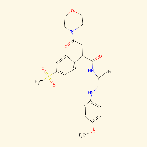 CC(C)C(CNc1ccc(OC(F)(F)F)cc1)NC(=O)C(CC(=O)N1CCOCC1)c1ccc(S(C)(=O)=O)cc1